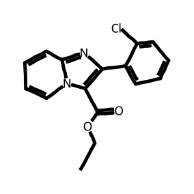 CCOC(=O)c1c(-c2ccccc2Cl)nc2ccccn12